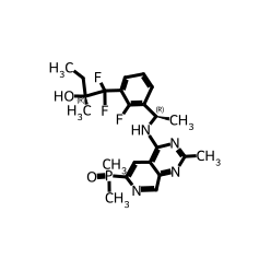 CC[C@@](C)(O)C(F)(F)c1cccc([C@@H](C)Nc2nc(C)nc3cnc(P(C)(C)=O)cc23)c1F